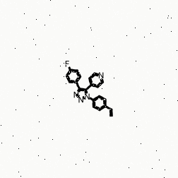 C=Cc1ccc(-n2nnc(-c3ccc(F)cc3)c2-c2ccncc2)cc1